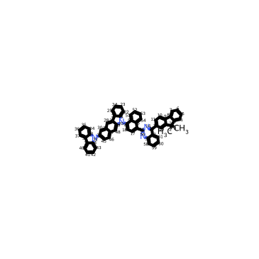 CC1(C)c2ccccc2-c2ccc(-c3nc(-c4ccc(-n5c6ccccc6c6cc7cc(-n8c9ccccc9c9ccccc98)ccc7cc65)c5ccccc45)nc4ccccc34)cc21